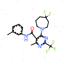 Cc1cccc(NC(=O)c2c(C)nc(C(F)(F)F)nc2N2CCCC(F)(F)CC2)c1